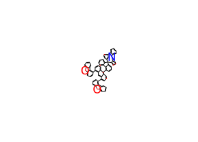 c1ccc2c(c1)-c1c(-c3c4cccc(-c5cccc6oc7ccccc7c56)c4cc4c(-c5cccc6oc7ccccc7c56)cccc34)cccc1C21c2ccccc2-n2c3ccccc3c3cccc1c32